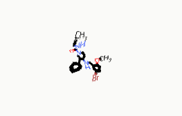 CCNC(=O)N1CCC(NCc2cc(Br)ccc2OC)C(c2ccccc2)C1